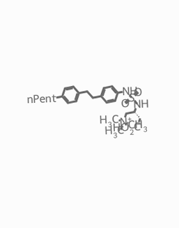 CCCCCc1ccc(CCc2ccc(NS(=O)(=O)N[C@H](CC(=O)O)C[N+](C)(C)C)cc2)cc1